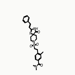 Cc1cc(C(=O)N(C)C)ccc1CCS(=O)(=O)N1CCC2(CC1)N=C(C=Cc1ccccc1)NC2=O